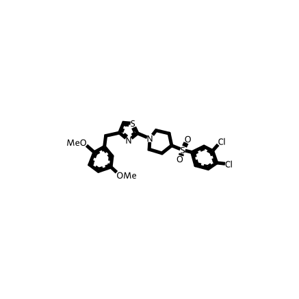 COc1ccc(OC)c(Cc2csc(N3CCC(S(=O)(=O)c4ccc(Cl)c(Cl)c4)CC3)n2)c1